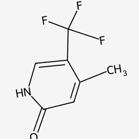 Cc1cc(=O)[nH]cc1C(F)(F)F